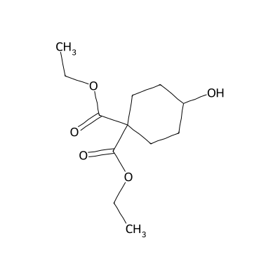 CCOC(=O)C1(C(=O)OCC)CCC(O)CC1